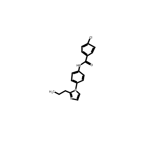 CCCc1nccn1-c1ccc(NC(=O)c2ccc(Cl)cc2)cc1